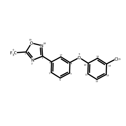 FC(F)(F)c1nc(-c2cc[c]c(Oc3cccc(Cl)c3)c2)no1